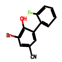 N#Cc1cc(Br)c(O)c(-c2ccccc2F)c1